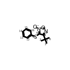 CC(C)(C)c1no[n+]([O-])c1Sc1ccccc1